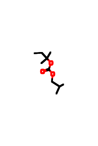 CCC(C)(C)OC(=O)OCC(C)C